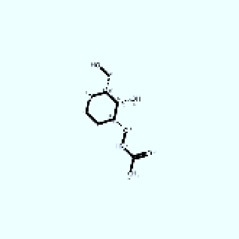 CC(=O)NO[C@@H]1CCO[C@H](CO)[C@@H]1O